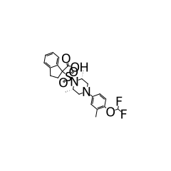 Cc1cc(N2C[C@@H](C)N(S(=O)(=O)C3(C(=O)O)CCc4ccccc43)[C@@H](C)C2)ccc1OC(F)F